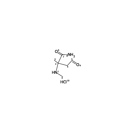 CNC(C)(CC=O)C(N)=O.Cl